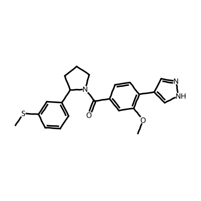 COc1cc(C(=O)N2CCCC2c2cccc(SC)c2)ccc1-c1cn[nH]c1